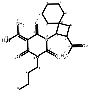 CCCCN1C(=O)C(=C(N)N)C(=O)N(C2C(C(N)=O)CC23CCCCC3)C1=O